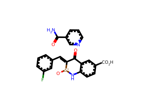 NC(=O)c1cccnc1.O=C(O)c1ccc2c(c1)C(=O)/C(=C/c1cccc(F)c1)[S+]([O-])N2